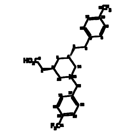 O=C(O)C[C@H]1C[C@H](CCc2ccc(C(F)(F)F)cc2)CN(Cc2ccc(C(F)(F)F)cc2)C1